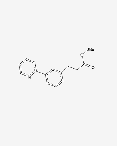 CC(C)(C)OC(=O)CCc1cccc(-c2ccccn2)c1